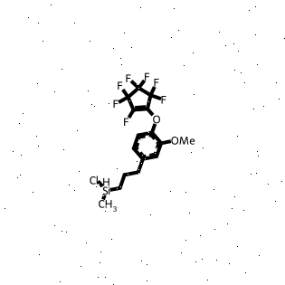 COc1cc(CCC[SiH](C)Cl)ccc1OC1=C(F)C(F)(F)C(F)(F)C1(F)F